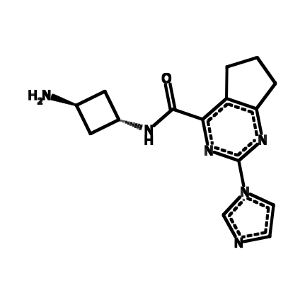 N[C@H]1C[C@H](NC(=O)c2nc(-n3ccnc3)nc3c2CCC3)C1